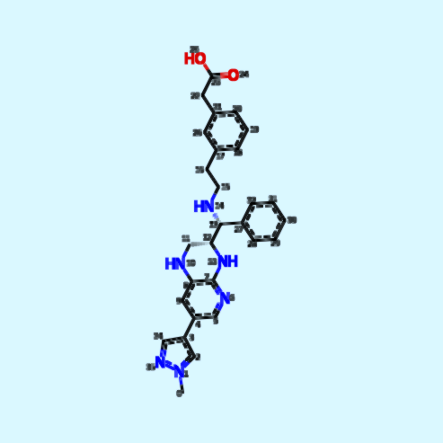 Cn1cc(-c2cnc3c(c2)NC[C@H]([C@H](NCCc2cccc(CC(=O)O)c2)c2ccccc2)N3)cn1